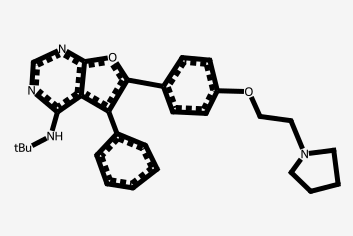 CC(C)(C)Nc1ncnc2oc(-c3ccc(OCCN4CCCC4)cc3)c(-c3ccccc3)c12